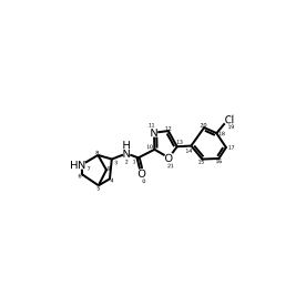 O=C(NC1CC2CNC1C2)c1ncc(-c2cccc(Cl)c2)o1